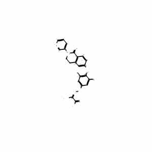 CCOC(=O)NC(=O)C(C#N)=NNc1cc(Cl)c(Oc2ccc3c(c2)CCN(c2cccnc2)C3=O)c(Cl)c1